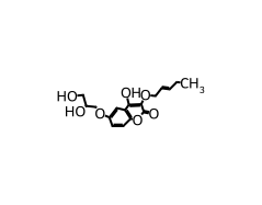 CCC=CCOc1c(O)c2cc(OCC(O)CO)ccc2oc1=O